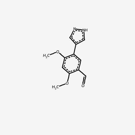 COc1cc(OC)c(-c2cn[nH]c2)cc1C=O